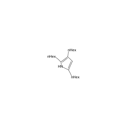 CCCCCCc1cc(CCCCCC)c(CCCCCC)[nH]1